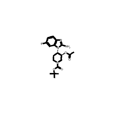 CC(=O)O[C@H]1CN(C(=O)OC(C)(C)C)CC[C@@H]1n1c(N)nc2ccc(F)cc21